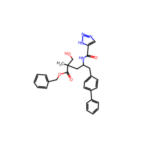 CC(CO)(CC(Cc1ccc(-c2ccccc2)cc1)NC(=O)c1cnn[nH]1)C(=O)OCc1ccccc1